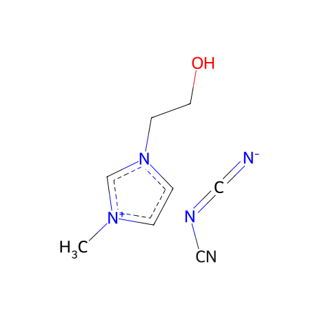 C[n+]1ccn(CCO)c1.N#CN=C=[N-]